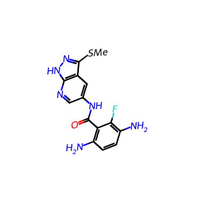 CSc1n[nH]c2ncc(NC(=O)c3c(N)ccc(N)c3F)cc12